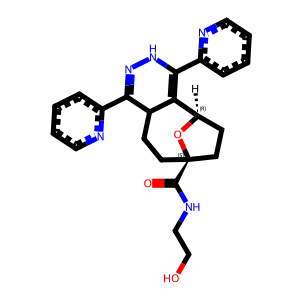 O=C(NCCO)[C@]12CCC3C(c4ccccn4)=NNC(c4ccccn4)=C3[C@@H](CC1)O2